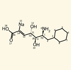 N[C@@H](CC1CCCCC1)[C@@H](O)[C@@H](O)C=[C]([Na])C(=O)O